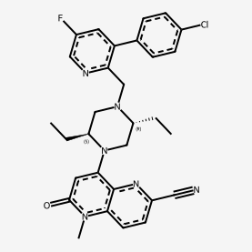 CC[C@@H]1CN(c2cc(=O)n(C)c3ccc(C#N)nc23)[C@@H](CC)CN1Cc1ncc(F)cc1-c1ccc(Cl)cc1